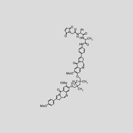 COc1ccc(C2=CN3C(=O)c4cc(OC)c(OCC(C)(C)CC(C)(C)COc5cc6c(cc5OC)C(=O)N5C=C(c7ccc(NC(=O)C(C)NC(=O)C(NC(=O)CN8C(=O)C=CC8=O)C(C)C)cc7)CC5C=N6)cc4N=CC3C2)cc1